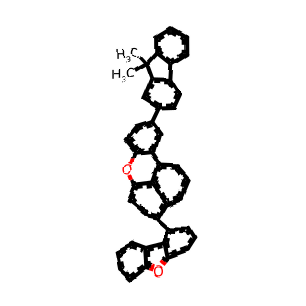 CC1(C)c2ccccc2-c2ccc(-c3ccc4c(c3)-c3cccc5c(-c6cccc7oc8ccccc8c67)ccc(c35)O4)cc21